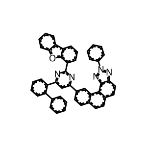 c1ccc(-c2ccccc2-c2cc(-c3ccc4ccc5ccc6nn(-c7ccccc7)nc6c5c4c3)nc(-c3cccc4c3oc3ccccc34)n2)cc1